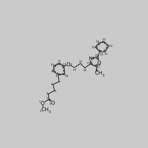 COC(=O)CCCCc1cccc(OCCCc2nc(-c3ccccc3)oc2C)c1